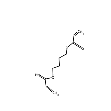 C=CC(=N)OCCCCOC(=O)C=C